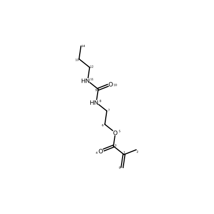 C=C(C)C(=O)OCCNC(=O)NCCC